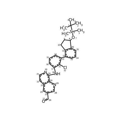 CC(C)(C)[Si](C)(C)OC1CCc2c(-c3cccc(Nc4nccc5cc(C=O)cnc45)c3Cl)cccc21